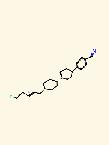 N#Cc1ccc(C2CCC([C@H]3CC[C@H](C/C=C/CCF)CC3)CC2)cc1